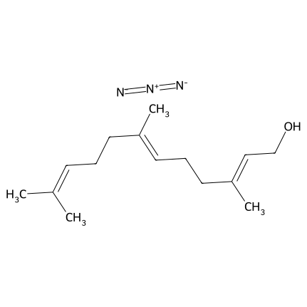 CC(C)=CCCC(C)=CCCC(C)=CCO.[N-]=[N+]=[N-]